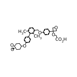 Cc1ccc(COc2ccc(C3(OCC(=O)O)COC3)cc2)c(C)c1-c1ccc(OC2CCS(=O)(=O)CC2)cc1